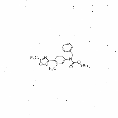 CC(C)(C)OC(=O)N(Cc1ccccc1)c1ccc(-c2noc(C(F)(F)F)n2)c(C(F)(F)F)c1